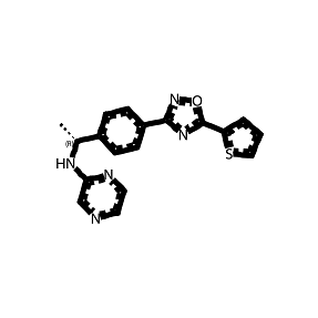 C[C@@H](Nc1cnccn1)c1ccc(-c2noc(-c3cccs3)n2)cc1